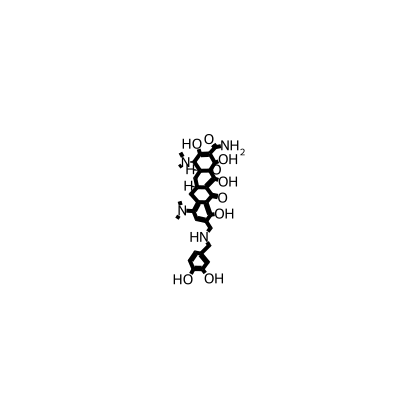 CN(C)c1cc(CNCc2ccc(O)c(O)c2)c(O)c2c1C[C@H]1C[C@H]3[C@H](N(C)C)C(O)=C(C(N)=O)C4(O)O[C@]34C(O)=C1C2=O